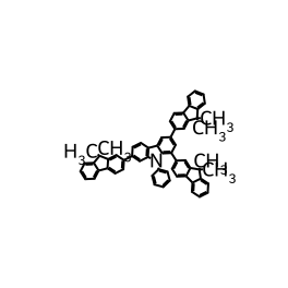 CC1(C)c2ccccc2-c2ccc(-c3cc(-c4ccc5c(c4)C(C)(C)c4ccccc4-5)c4c(c3)c3ccc(-c5ccc6c(c5)C(C)(C)c5ccccc5-6)cc3n4-c3ccccc3)cc21